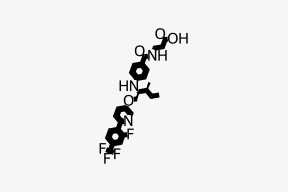 CC[C@H](C)[C@@H](COc1ccc(-c2ccc(C(F)(F)F)cc2F)nc1)Nc1ccc(C(=O)NCCC(=O)O)cc1